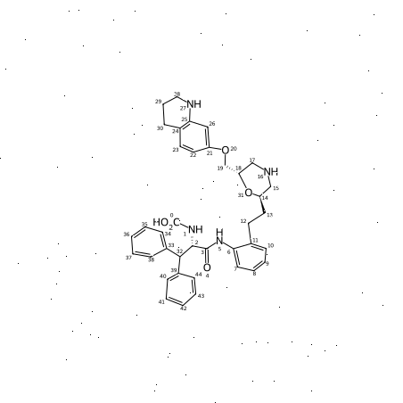 O=C(O)N[C@H](C(=O)Nc1ccccc1CC[C@@H]1CNC[C@@H](COc2ccc3c(c2)NCCC3)O1)C(c1ccccc1)c1ccccc1